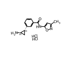 Cc1cc(NC(=O)c2cccc([C@@H]3C[C@H]3N)c2)on1.Cl.Cl